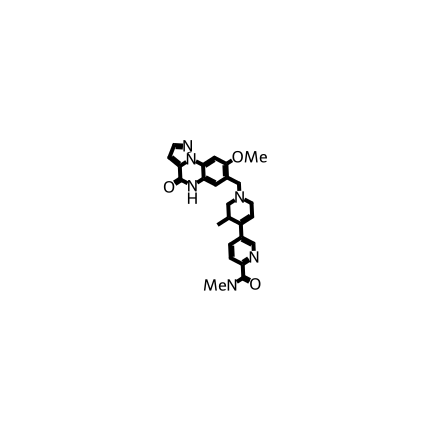 CNC(=O)c1ccc(C2=CCN(Cc3cc4[nH]c(=O)c5ccnn5c4cc3OC)CC2C)cn1